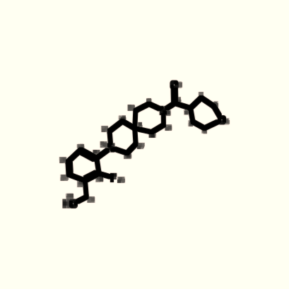 O=C(C1CCOCC1)N1CCC2(CC1)CCN(c1cccc(CO)c1F)CC2